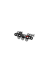 O=C1C2=C(COC(C(=O)C3CC4C(=O)c5cc6ccccc6c(O)c5C(=O)C4=CO3)C2)C(=O)c2c1cc1ccccc1c2O